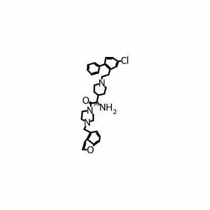 N[C@@H](C(=O)N1CCN(Cc2cccc3occc23)CC1)C1CCN(CCc2cc(Cl)ccc2-c2ccccc2)CC1